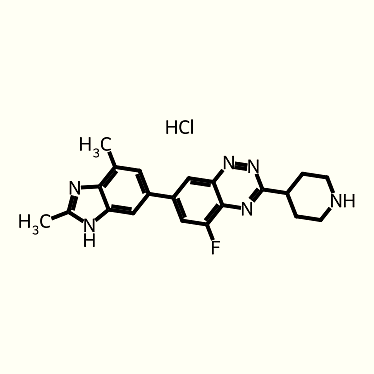 Cc1nc2c(C)cc(-c3cc(F)c4nc(C5CCNCC5)nnc4c3)cc2[nH]1.Cl